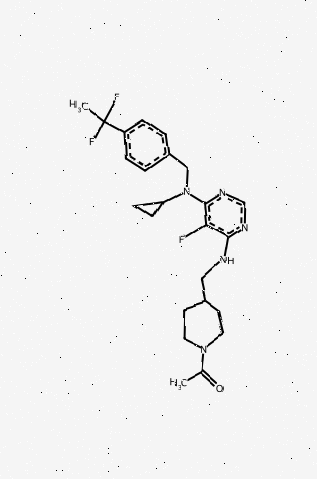 CC(=O)N1CCC(CNc2ncnc(N(Cc3ccc(C(C)(F)F)cc3)C3CC3)c2F)CC1